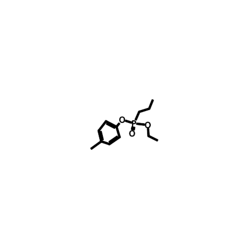 CCCP(=O)(OCC)Oc1ccc(C)cc1